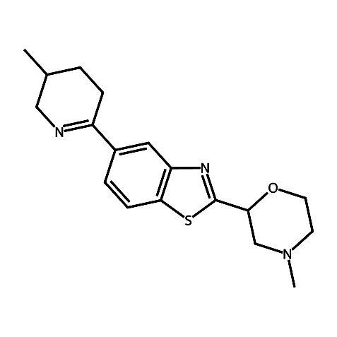 CC1CCC(c2ccc3sc(C4CN(C)CCO4)nc3c2)=NC1